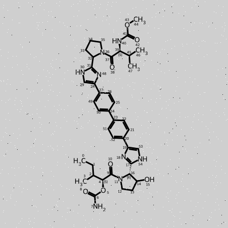 CCC(C)[C@H](OC(N)=O)C(=O)N1CCC(O)[C@H]1c1nc(-c2ccc(-c3ccc(-c4c[nH]c(C5CCCN5C(=O)[C@@H](NC(=O)OC)C(C)C)n4)cc3)cc2)c[nH]1